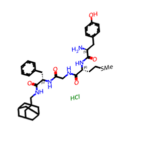 CSCC[C@@H](NC(=O)[C@@H](N)Cc1ccc(O)cc1)C(=O)NCC(=O)N[C@@H](Cc1ccccc1)C(=O)NCC12CC3CC(CC(C3)C1)C2.Cl